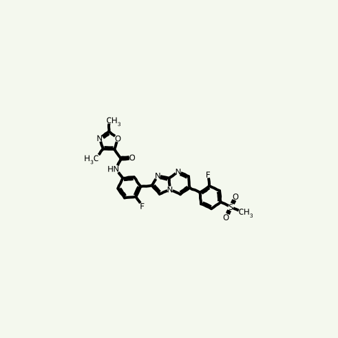 Cc1nc(C)c(C(=O)Nc2ccc(F)c(-c3cn4cc(-c5ccc(S(C)(=O)=O)cc5F)cnc4n3)c2)o1